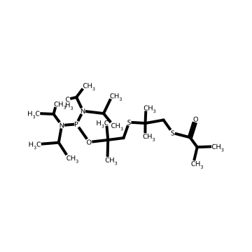 CC(C)C(=O)SCC(C)(C)SCC(C)(C)OP(N(C(C)C)C(C)C)N(C(C)C)C(C)C